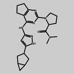 CN(C)C(=O)C1CCCN1c1nc2c(c(Nc3cc(C4CC5CC5C4)[nH]n3)n1)CCC2